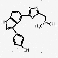 CN(C)Cc1nnc(-c2ccc3[nH]nc(-c4ccc(C#N)cc4)c3c2)o1